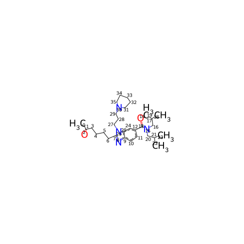 CC(=O)CCCCc1nc2ccc(C(=O)N(CC(C)C)CC(C)C)cc2n1CCCN1CCCCC1